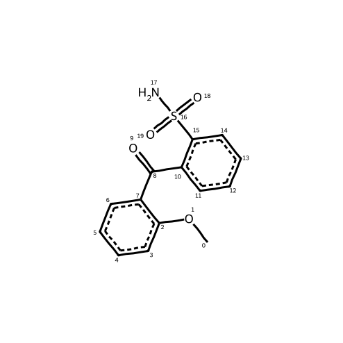 COc1ccccc1C(=O)c1ccccc1S(N)(=O)=O